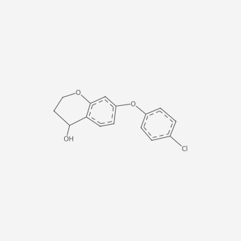 OC1CCOc2cc(Oc3ccc(Cl)cc3)ccc21